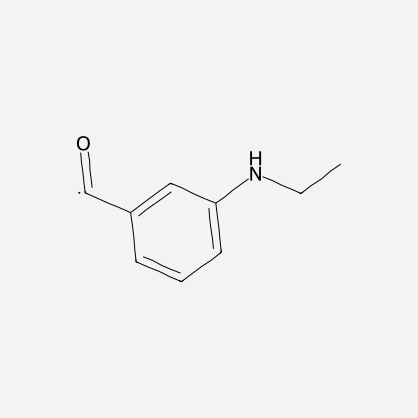 CCNc1cccc([C]=O)c1